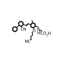 Cc1cc(CNCC(=O)O)c(OCCCCC#N)cc1C=Cc1cccc(-c2ccccc2)c1C#N